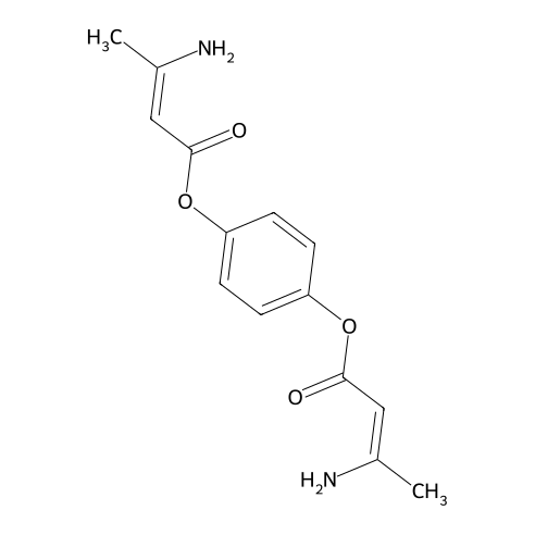 C/C(N)=C/C(=O)Oc1ccc(OC(=O)/C=C(/C)N)cc1